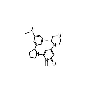 C[C@@H]1COCCN1c1cc(N2CCCC2c2cccc(N(C)C)c2)[nH]c(=O)c1